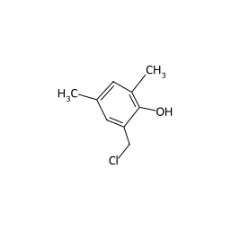 Cc1cc(C)c(O)c(CCl)c1